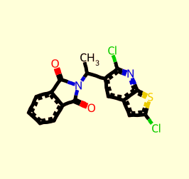 CC(c1cc2cc(Cl)sc2nc1Cl)N1C(=O)c2ccccc2C1=O